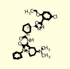 CCOc1ccc(Cl)cc1-c1nnc([C@H]2CCC[C@@H](C(=O)Nc3c4n(n(-c5ccccc5)c3=O)CCC(N(C)C)C4)C2)o1